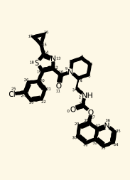 O=C(NC[C@@H]1CCCCN1C(=O)c1nc(C2CC2)sc1-c1cccc(Cl)c1)Oc1cccc2cccnc12